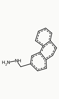 NNCc1ccc2ccc3ccccc3c2c1